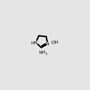 C1=NCCN1.Cl.N